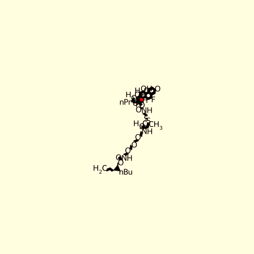 C=CCC[C@@H]1[C@H](CCCC)[C@@H]1COC(=O)NCCOCCOCCOCCNC(=O)CC(C)(C)SSCCNC(=O)OCC(=O)[C@@]12OC(CCC)O[C@@H]1CC1[C@@H]3C[C@H](F)C4=CC(=O)C=C[C@]4(C)[C@@]3(F)[C@@H](O)C[C@@]12C